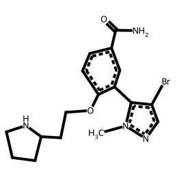 Cn1ncc(Br)c1-c1cc(C(N)=O)ccc1OCCC1CCCN1